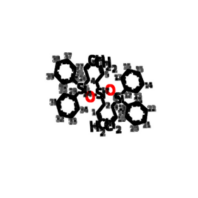 C=CC[Si](CC=C)(O[Si](CC=C)(c1ccccc1)c1ccccc1)O[Si](CC=C)(c1ccccc1)c1ccccc1